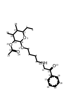 CCC1OC(OCCCCNCC(=O)c2ccccc2)C(OC(C)=O)C(C)C1C